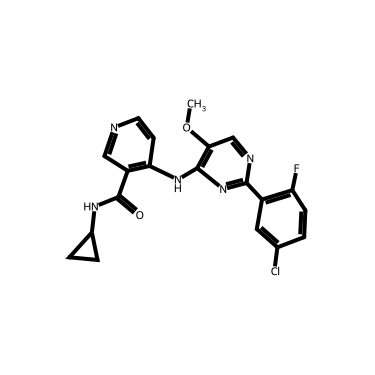 COc1cnc(-c2cc(Cl)ccc2F)nc1Nc1ccncc1C(=O)NC1CC1